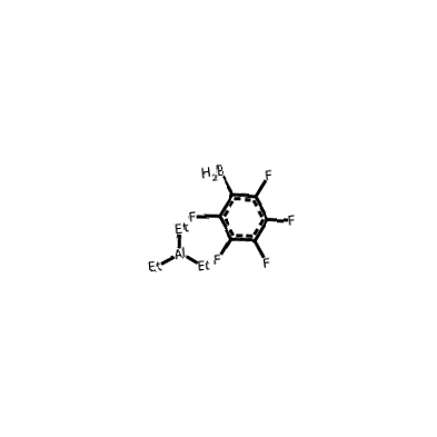 Bc1c(F)c(F)c(F)c(F)c1F.C[CH2][Al]([CH2]C)[CH2]C